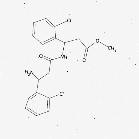 COC(=O)CC(NC(=O)CC(N)c1ccccc1Cl)c1ccccc1Cl